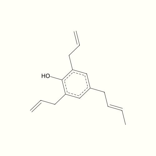 C=CCc1cc(CC=CC)cc(CC=C)c1O